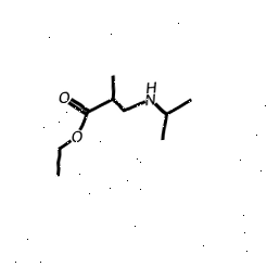 CCOC(=O)C(C)CNC(C)C